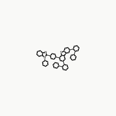 c1ccc(-c2ccccc2-c2ccc3sc4c(-c5ccc(-c6nc7ccccc7n6-c6ccccc6)cc5)cc(-c5ccccc5-c5ccccc5)cc4c3c2)cc1